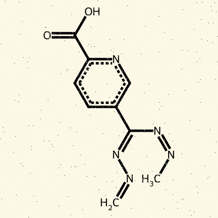 C=N/N=C(\N=N/C)c1ccc(C(=O)O)nc1